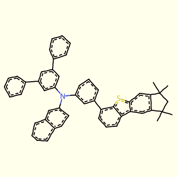 CC1(C)CC(C)(C)c2cc3c(cc21)sc1c(-c2cccc(N(c4cc(-c5ccccc5)cc(-c5ccccc5)c4)c4ccc5ccccc5c4)c2)cccc13